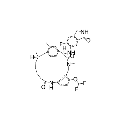 Cc1cc2ccc1[C@@H](C)CCCCC(=O)Nc1ccc(OC(F)F)c(c1)CN(C)C(=O)[C@@H]2Nc1cc2c(cc1F)CNC2=O